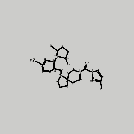 Cc1ccn(C(=O)N2CCC3(CCCN3Cc3ccc(C(F)(F)F)cc3N3C(C)CCC3C)CC2)n1